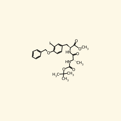 COC(=O)[C@H](Cc1ccc(OCc2ccccc2)c(I)c1)NC(=O)[C@H](C)NC(=O)OC(C)(C)C